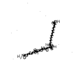 NC(=O)COCCOCCNC(=O)COCCOCCNC(=O)CCC(NC(=O)CCCCCCCCCCCCCCCCC(=O)O)C(=O)O